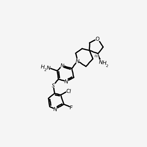 Nc1nc(N2CCC3(CC2)COC[C@H]3N)cnc1Sc1ccnc(F)c1Cl